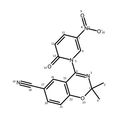 CC1(C)N=C(n2cc([N+](=O)[O-])ccc2=O)c2cc(C#N)ccc2O1